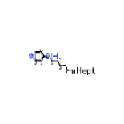 CCCCCCCCCCCCNc1ccncc1